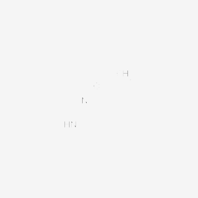 [CH2]CON1CCNCC1